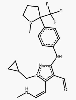 CN/C=C\c1c(C=O)c(Nc2ccc(C3(C(F)(F)F)CCCN3C)cc2)nn1CC1CC1